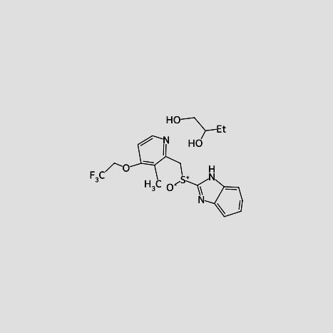 CCC(O)CO.Cc1c(OCC(F)(F)F)ccnc1C[S+]([O-])c1nc2ccccc2[nH]1